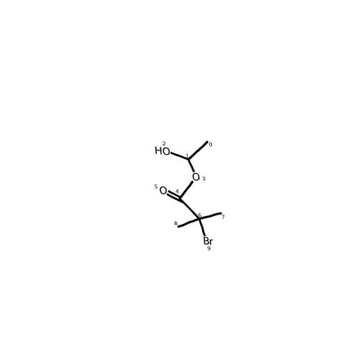 CC(O)OC(=O)C(C)(C)Br